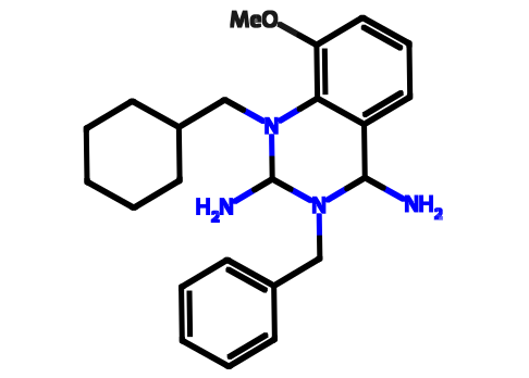 COc1cccc2c1N(CC1CCCCC1)C(N)N(Cc1ccccc1)C2N